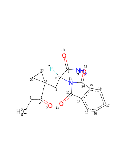 CCC(=O)C1(CC(F)(C(N)=O)N2C(=O)c3ccccc3C2=O)CC1